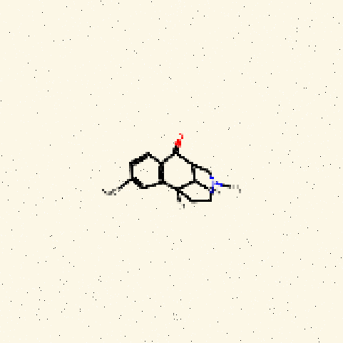 CCC12CCN(C)CC(C(=O)c3ccc(OC)cc31)C2C